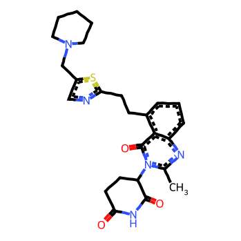 Cc1nc2cccc(CCc3ncc(CN4CCCCC4)s3)c2c(=O)n1C1CCC(=O)NC1=O